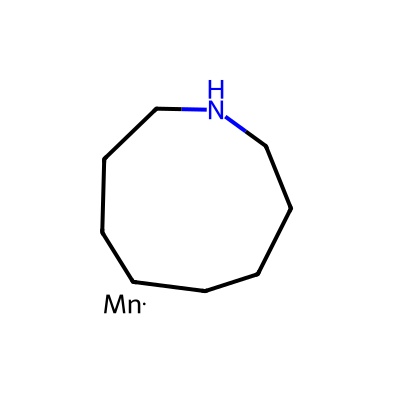 C1CCCCNCCC1.[Mn]